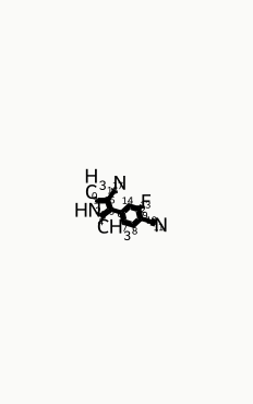 Cc1[nH]c(C)c(-c2ccc(C#N)c(F)c2)c1C#N